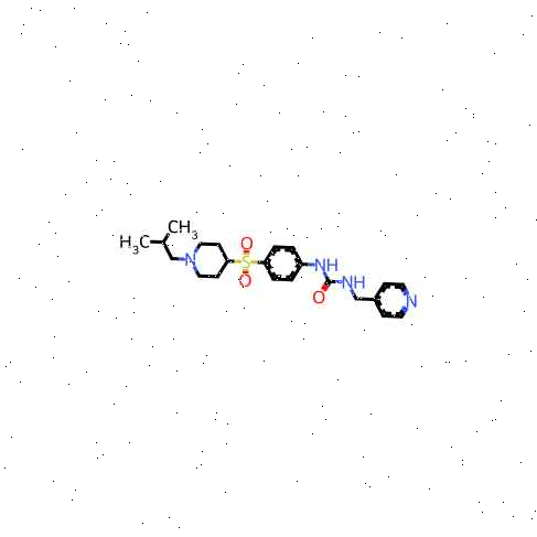 CC(C)CN1CCC(S(=O)(=O)c2ccc(NC(=O)NCc3ccncc3)cc2)CC1